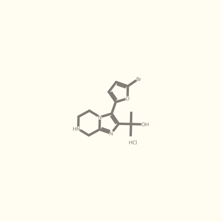 CC(C)(O)c1nc2n(c1-c1ccc(Br)o1)CCNC2.Cl